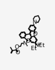 C=C(C)C(=O)OCCN(C)C(=O)c1ccccc1-c1c2ccc(=[N+](CC)CC)cc-2oc2cc(N3CCCCC3)ccc12